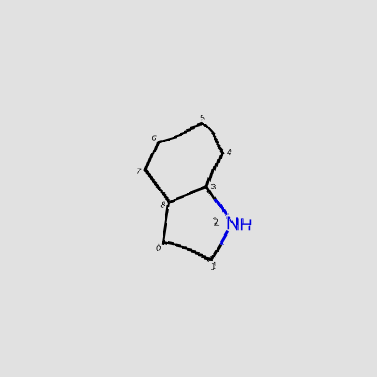 [CH]1CNC2CCCCC12